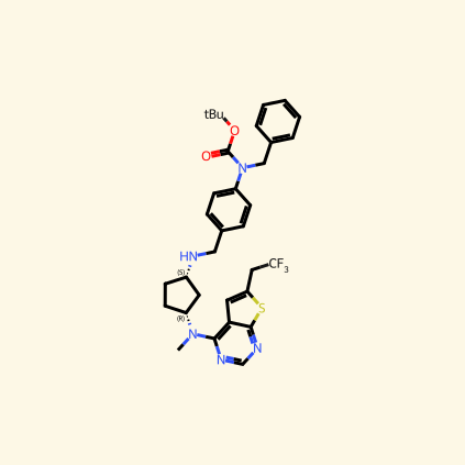 CN(c1ncnc2sc(CC(F)(F)F)cc12)[C@@H]1CC[C@H](NCc2ccc(N(Cc3ccccc3)C(=O)OC(C)(C)C)cc2)C1